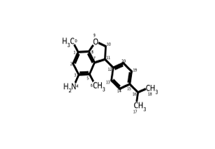 Cc1cc(N)c(C)c2c1OCC2c1ccc(C(C)C)cc1